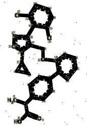 CC(C(=O)O)c1ccc(-c2ccccc2OCc2c(-c3c(Cl)cccc3Cl)noc2C2CC2)cc1